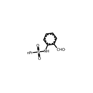 CCCS(=O)(=O)Nc1ccccc1[C]=O